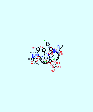 CC(C)C[C@@H](N)C(=O)N[C@@H]1C(=O)NC(CC(N)=O)C(=O)NC2C(=O)NC3C(=O)N[C@H](C(=O)NC(C(=O)O)c4cc(O)cc(O)c4-c4cc3ccc4O)[C@H](OC3CC(C)(N)C(O)C(C)O3)c3ccc(c(Cl)c3)Oc3cc2cc(c3OC2OC(CO)C(O)C(O)C2OC2CC(C)(NCC(OCc3ccc(-c4ccc(Cl)cc4)cc3)C(=O)O)C(O)C(C)O2)Oc2ccc(cc2Cl)C1O